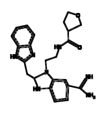 N=C(N)c1ccc2c(c1)N(CCNC(=O)C1CCOC1)C(Cc1nc3ccccc3[nH]1)N2